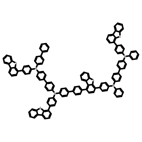 c1ccc(-c2ccc(N(c3ccc(-c4ccc(N(c5ccc(-c6ccc(-c7ccc(-c8ccc(N(c9ccccc9)c9ccc(-c%10ccc(N(c%11ccccc%11)c%11ccc(-c%12cccc%13c%12sc%12ccccc%12%13)cc%11)cc%10)cc9)cc8)c8sc9ccccc9c78)cc6)cc5)c5ccc(-c6cccc7c6sc6ccccc67)cc5)cc4)cc3)c3ccc(-c4cccc5c4sc4ccccc45)cc3)cc2)cc1